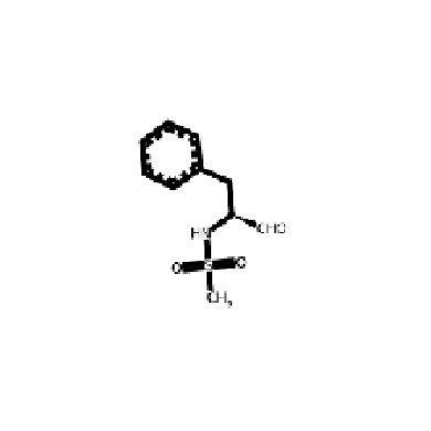 CS(=O)(=O)N[C@H]([C]=O)Cc1ccccc1